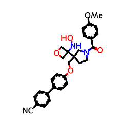 COc1ccc(C(=O)N2CCC(COc3ccc(-c4ccc(C#N)cc4)cc3)(C3(NO)COC3)C2)cc1